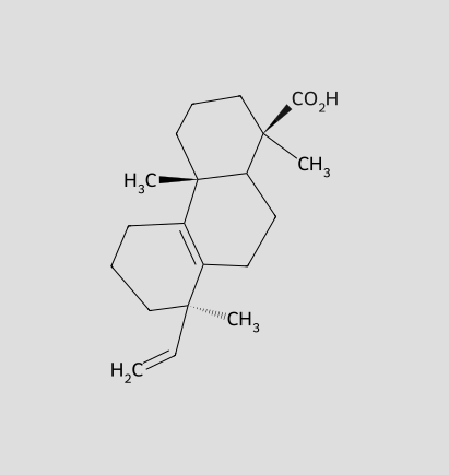 C=C[C@@]1(C)CCCC2=C1CCC1[C@](C)(C(=O)O)CCC[C@@]21C